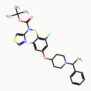 CC(c1ccccc1)N1CCC(Oc2cc(F)c(SN(C(=O)OC(C)(C)C)c3cscn3)c(F)c2)CC1